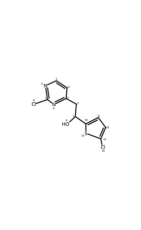 OC(Cc1ccnc(Cl)n1)c1ccc(Cl)s1